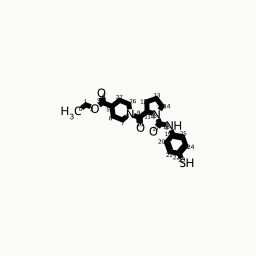 CCOC(=O)C1CCN(C(=O)C2CCCN2C(=O)Nc2ccc(S)cc2)CC1